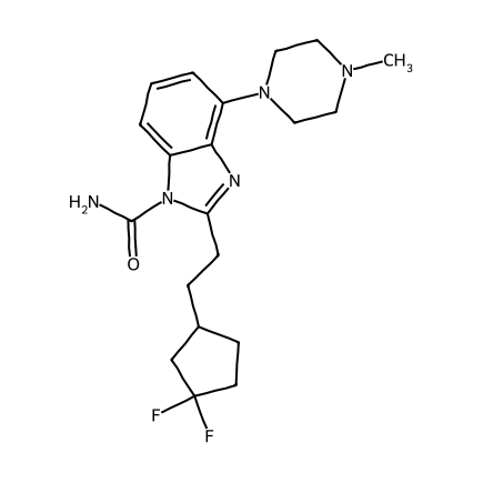 CN1CCN(c2cccc3c2nc(CCC2CCC(F)(F)C2)n3C(N)=O)CC1